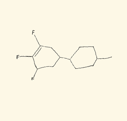 CC1CCC(C2CC(F)=C(F)C(F)C2)CC1